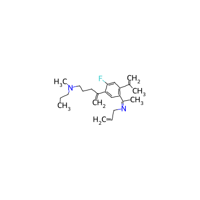 C=CC/N=C(/C)c1cc(C(=C)CCCN(C)CCC)c(F)cc1C(=C)C